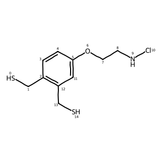 SCc1ccc(OCCNCl)cc1CS